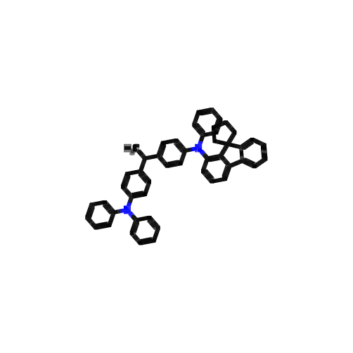 CC(c1ccc(N(c2ccccc2)c2ccccc2)cc1)c1ccc(N(c2ccccc2)c2cccc3c2C2(CCCC2)c2ccccc2-3)cc1